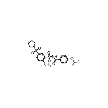 Cc1ccc(S(=O)(=O)N2CCCC2)cc1S(=O)(=O)NC(=O)c1ccc(OC(F)F)cc1